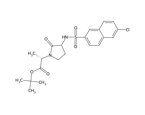 C[C@@H](C(=O)OC(C)(C)C)N1CCC(NS(=O)(=O)c2ccc3cc(Cl)ccc3c2)C1=O